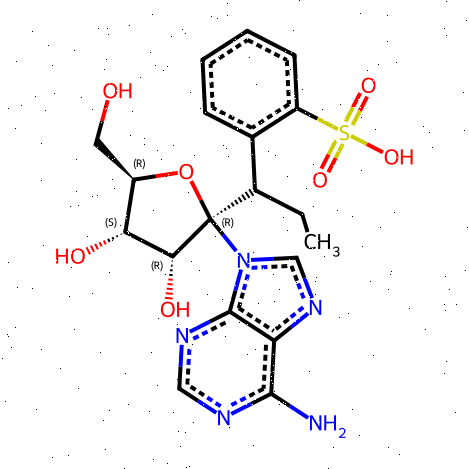 CCC(c1ccccc1S(=O)(=O)O)[C@@]1(n2cnc3c(N)ncnc32)O[C@H](CO)[C@@H](O)[C@H]1O